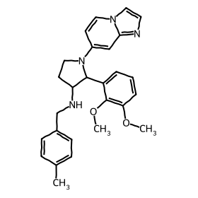 COc1cccc(C2C(NCc3ccc(C)cc3)CCN2c2ccn3ccnc3c2)c1OC